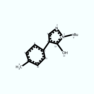 CCCCn1ncc(-c2ccc(C)cc2)c1O